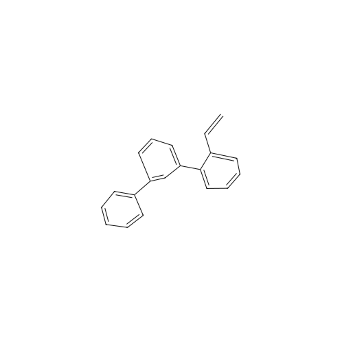 C=Cc1ccccc1-c1cccc(-c2ccccc2)c1